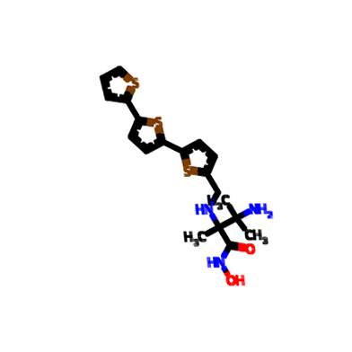 CC(C)(N)C(C)(NCc1ccc(-c2ccc(-c3cccs3)s2)s1)C(=O)NO